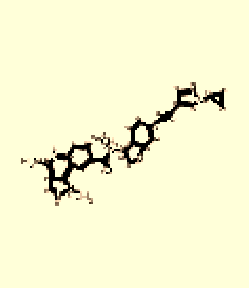 CN(C(=O)c1cc2c(cc1F)nc(N)c1cnn(C)c12)[C@@H]1COc2cc(C#Cc3cnn(C4CC4)c3)ccc21